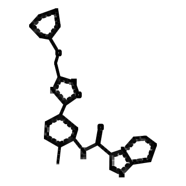 Cc1ccc(-c2nc(COc3ccccc3)no2)cc1NC(=O)c1cnc2ccccn12